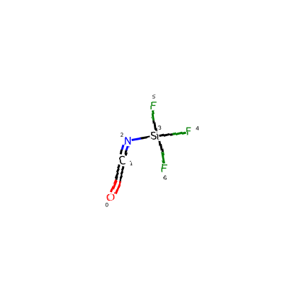 O=C=N[Si](F)(F)F